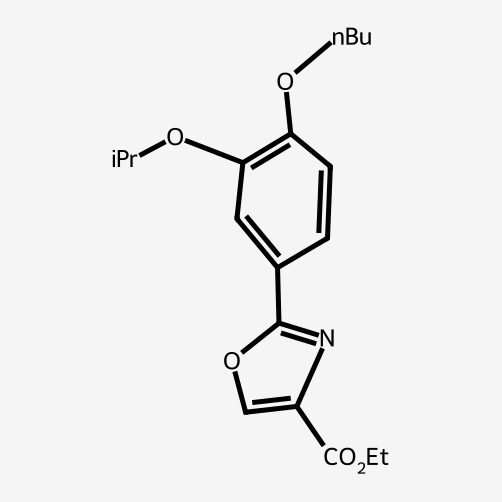 CCCCOc1ccc(-c2nc(C(=O)OCC)co2)cc1OC(C)C